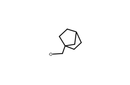 [O]CC12CCC(CC1)C2